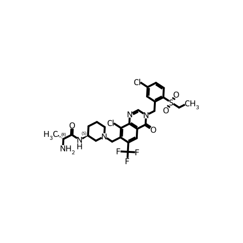 CCS(=O)(=O)c1ccc(Cl)cc1Cn1cnc2c(Cl)c(CN3CCC[C@H](NC(=O)[C@@H](C)N)C3)c(C(F)(F)F)cc2c1=O